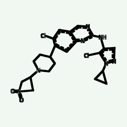 O=S1(=O)CC(N2CCC(c3cc4nc(Nc5cnn(C6CC6)c5Cl)ncc4cc3Cl)CC2)C1